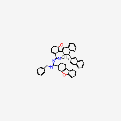 C=N/C(=N\C(=N/Cc1ccccc1)C1=Cc2oc3ccccc3c2CC1)C1=CCCc2oc3c(cc(-c4ccc5ccccc5c4)c4ccccc43)c21